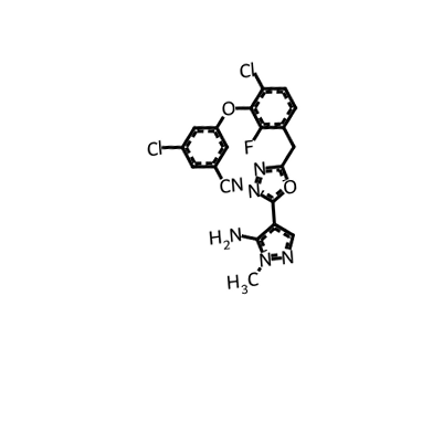 Cn1ncc(-c2nnc(Cc3ccc(Cl)c(Oc4cc(Cl)cc(C#N)c4)c3F)o2)c1N